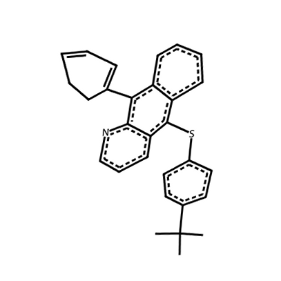 CC(C)(C)c1ccc(Sc2c3ccccc3c(C3=CC=CCC3)c3ncccc23)cc1